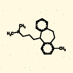 Cc1cccc2c1CCc1ccccc1C2CCCN(C)C